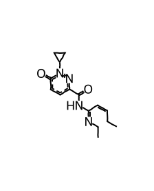 CC/C=C\C(=N/CC)NC(=O)c1ccc(=O)n(C2CC2)n1